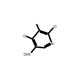 Cc1c(Cl)ncc(C=O)c1Cl